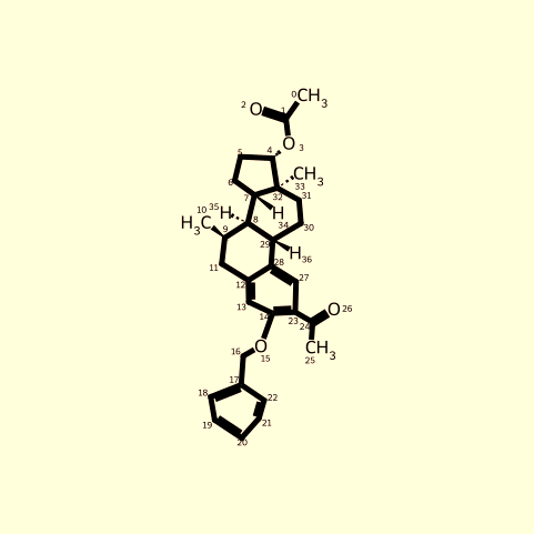 CC(=O)O[C@H]1CC[C@H]2[C@@H]3[C@H](C)Cc4cc(OCc5ccccc5)c(C(C)=O)cc4[C@H]3CC[C@]12C